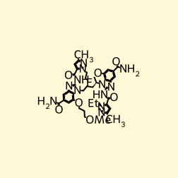 CCn1nc(C)cc1C(=O)Nc1nc2cc(C(N)=O)cc3c2n1[C@@H](CCCn1c(NC(=O)c2cc(C)nn2CCF)nc2cc(C(N)=O)cc(OCCCOC)c21)CO3